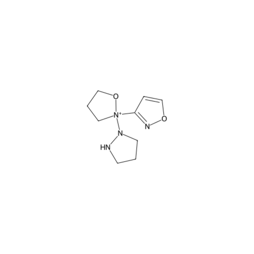 c1cc([N+]2(N3CCCN3)CCCO2)no1